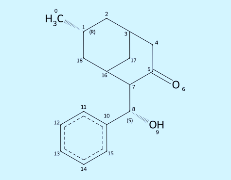 C[C@@H]1CC2CC(=O)C([C@H](O)c3ccccc3)C(C2)C1